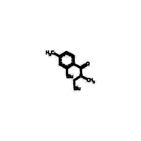 Cc1ccc(C(=O)N(C)CC(C)(C)C)c(C(C)(C)C)c1